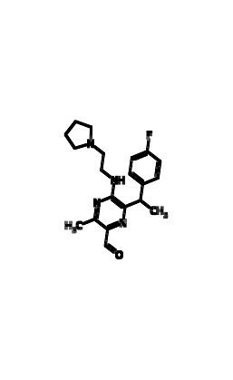 Cc1nc(NCCN2CCCC2)c(C(C)c2ccc(F)cc2)nc1C=O